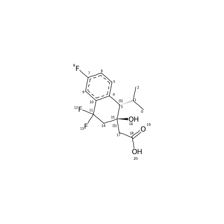 CC(C)[C@H]1c2ccc(F)cc2C(F)(F)C[C@@]1(O)CC(=O)O